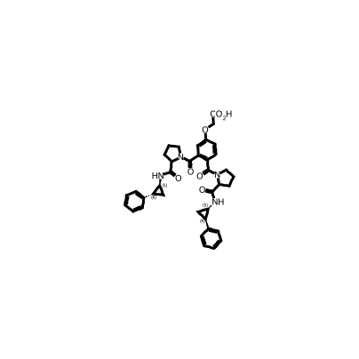 O=C(O)COc1ccc(C(=O)N2CCCC2C(=O)N[C@H]2C[C@@H]2c2ccccc2)c(C(=O)N2CCCC2C(=O)N[C@H]2C[C@@H]2c2ccccc2)c1